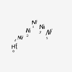 [Hf].[Ni].[Ni].[Ni].[Ni].[Ni]